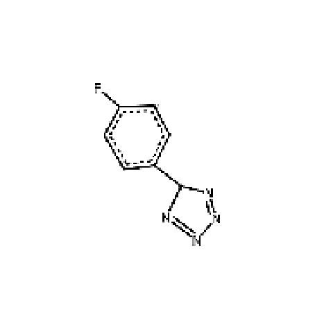 Fc1[c]cc(C2N=NN=N2)cc1